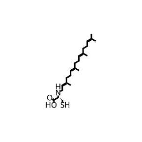 CC(C)=CCC/C(C)=C/CC/C(C)=C/CC/C(C)=C/CN[C@H](CS)C(=O)O